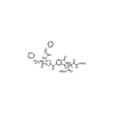 CCCCCCCCCC(=O)N[C@](C)(CN1C(=O)c2ccc(C(=O)N3C[C@@H](C(=O)N[C@H]4C[C@@H]4c4ccccc4)[C@H](C(=O)N[C@H]4C[C@@H]4c4ccccc4)C3)cc2C1=O)C(=O)NCCCCCC